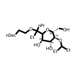 CCCCCCCCCCCCOC(CC)(CCC)C1O[C@H](CO)[C@@H](OC(CC)CC)[C@H](O)[C@H]1O